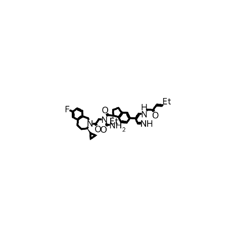 CC/C=C/C(=O)CN/C=C(\C=N)c1ccc2c(c1)CC[C@]2(CC)C(=O)N(CC(=O)N1Cc2ccc(F)cc2CC[C@@H]1C1CC1)C(N)=O